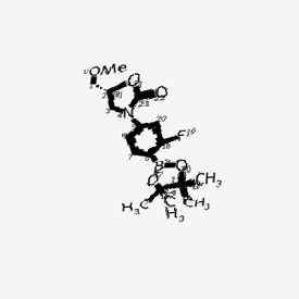 COC[C@H]1CN(c2ccc(B3OC(C)(C)C(C)(C)O3)c(F)c2)C(=O)O1